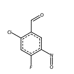 O=Cc1cc(N=O)c(F)cc1Cl